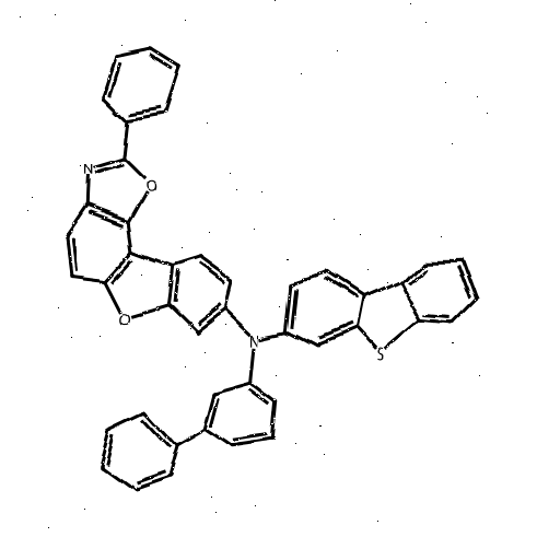 c1ccc(-c2cccc(N(c3ccc4c(c3)oc3ccc5nc(-c6ccccc6)oc5c34)c3ccc4c(c3)sc3ccccc34)c2)cc1